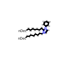 CCCCCCCCCCCCCCCCCC[n+]1ccn(-c2ccccc2)c1CCCCCCCCCCCCCCCCC